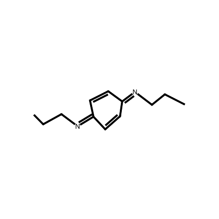 CCCN=C1C=CC(=NCCC)C=C1